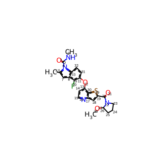 CNC(=O)n1c(C)cc2c(F)c(Oc3ccnc4cc(C(=O)N5CCCC5OC)sc34)ccc21